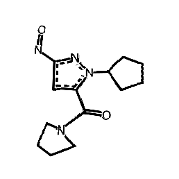 O=Nc1cc(C(=O)N2CCCC2)n(C2CCCC2)n1